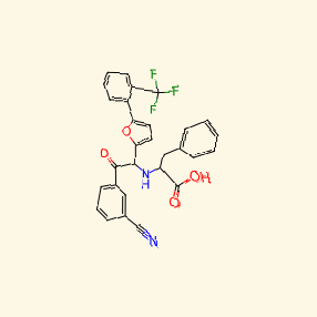 N#Cc1cccc(C(=O)C(NC(Cc2ccccc2)C(=O)O)c2ccc(-c3ccccc3C(F)(F)F)o2)c1